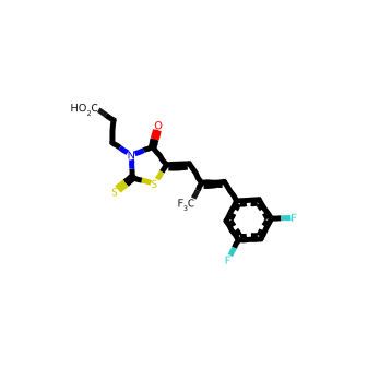 O=C(O)CCN1C(=O)/C(=C/C(=C/c2cc(F)cc(F)c2)C(F)(F)F)SC1=S